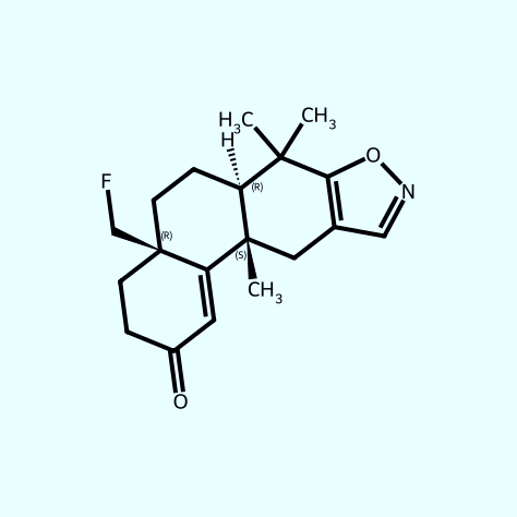 CC1(C)c2oncc2C[C@]2(C)C3=CC(=O)CC[C@]3(CF)CC[C@@H]12